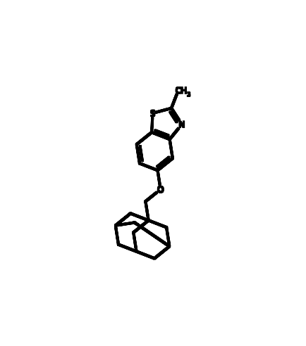 Cc1nc2cc(OCC34CC5CC(CC(C5)C3)C4)ccc2s1